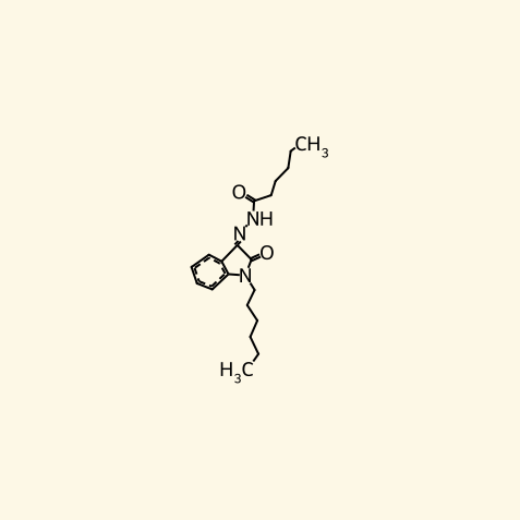 CCCCCCN1C(=O)/C(=N\NC(=O)CCCCC)c2ccccc21